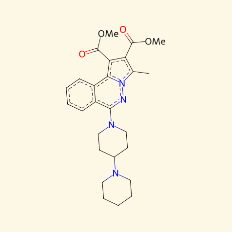 COC(=O)c1c(C(=O)OC)c2c3ccccc3c(N3CCC(N4CCCCC4)CC3)nn2c1C